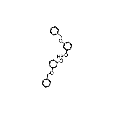 B(Oc1cccc(OCc2ccccc2)c1)Oc1cccc(OCc2ccccc2)c1